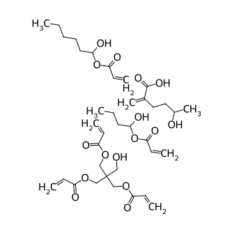 C=C(CCC(C)O)C(=O)O.C=CC(=O)OC(O)CCC.C=CC(=O)OC(O)CCCCC.C=CC(=O)OCC(CO)(COC(=O)C=C)COC(=O)C=C